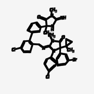 CN1C(=N)NC(C)(c2cccc(-c3cc(Cl)ccc3CN=C3N(C)C(=O)C(c4cccc(Br)c4)(C4(C)CC4)N3c3ccc(Cl)cc3)c2)C1=O